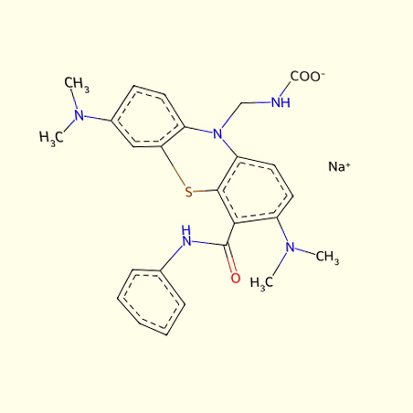 CN(C)c1ccc2c(c1)Sc1c(ccc(N(C)C)c1C(=O)Nc1ccccc1)N2CNC(=O)[O-].[Na+]